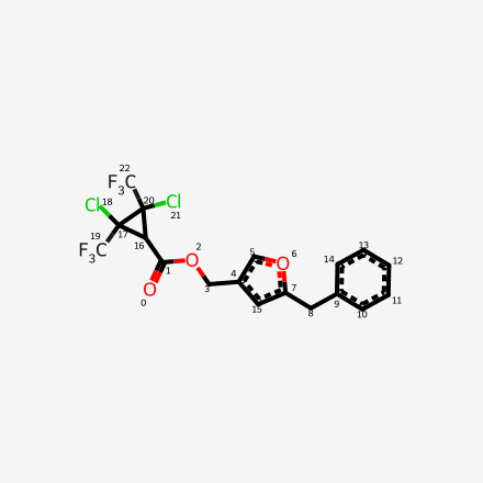 O=C(OCc1coc(Cc2ccccc2)c1)C1C(Cl)(C(F)(F)F)C1(Cl)C(F)(F)F